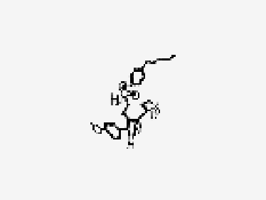 CCCCCc1ccc(S(=O)(=O)NCCc2c(-c3ccno3)n[nH]c2-c2ccc(OC)cc2)cc1